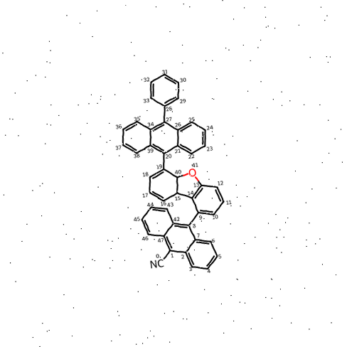 N#Cc1c2ccccc2c(-c2cccc3c2C2C=CC=C(c4c5ccccc5c(-c5ccccc5)c5ccccc45)C2O3)c2ccccc12